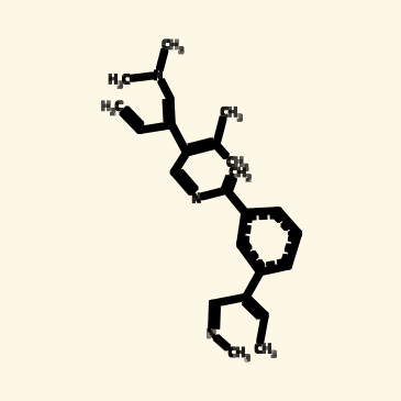 C=C/C(=C\N(C)C)C(/C=N\C(=C)c1cccc(C(/C=N\C)=C/C)c1)=C(C)C